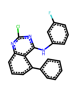 Fc1cccc(Nc2nc(Cl)nc3cccc(-c4ccccc4)c23)c1